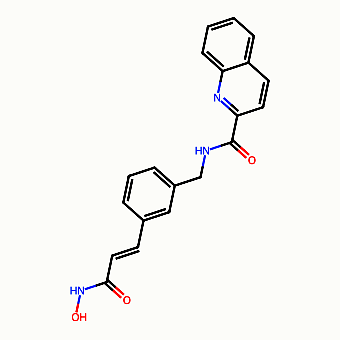 O=C(C=Cc1cccc(CNC(=O)c2ccc3ccccc3n2)c1)NO